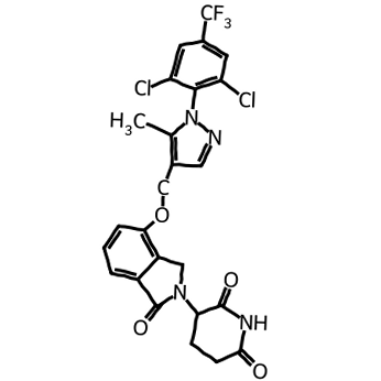 Cc1c(COc2cccc3c2CN(C2CCC(=O)NC2=O)C3=O)cnn1-c1c(Cl)cc(C(F)(F)F)cc1Cl